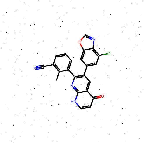 Cc1c(C#N)cccc1-c1nc2[nH]ccc(=O)c2cc1-c1cc(Cl)c2ncoc2c1